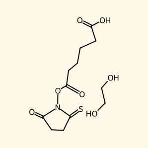 O=C(O)CCCCC(=O)ON1C(=O)CCC1=S.OCCO